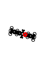 CC(C)C12c3ccccc3C(C(C)C)(c3cc4oc5cc6c(=O)oc(=O)c6cc5oc4cc31)c1cc3oc4cc5c(=O)oc(=O)c5cc4oc3cc12